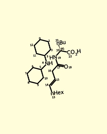 C1CCC(NC2CCCCC2)CC1.CCCCCCC=CCC(=O)N[C@H](CCCC)C(=O)O